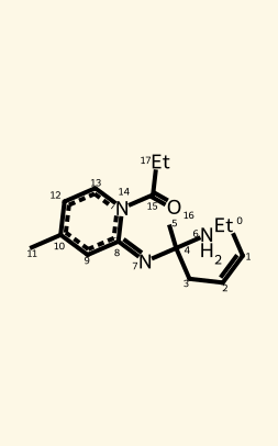 CC/C=C\CC(C)(N)/N=c1/cc(C)ccn1C(=O)CC